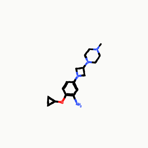 CN1CCN(C2CN(c3ccc(OC4CC4)c(N)c3)C2)CC1